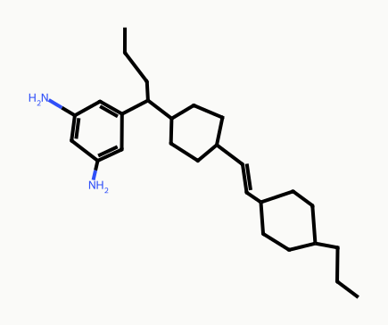 CCCC1CCC(/C=C/C2CCC(C(CCC)c3cc(N)cc(N)c3)CC2)CC1